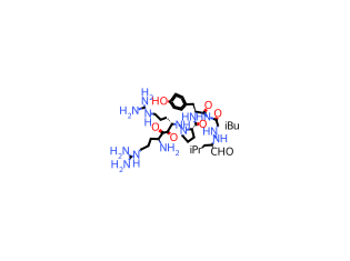 CC[C@H](C)C(NN[C@H](C=O)CC(C)C)C(=O)NC(=O)[C@H](Cc1ccc(O)cc1)NC(=O)[C@@H]1CCCN1N[C@@H](CCCNC(N)N)C(=O)C(=O)[C@@H](N)CCCNC(N)N